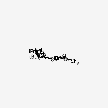 CC(C)C(C)(C)CC(C)(C(=O)OCCCCCCOc1ccc(/C=C/C(=O)OCCCC(F)(F)F)cc1)C(C)(C)C